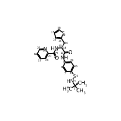 CC(C)(C)NSc1ccc(NC(=O)[C@H](Cc2cccs2)NC(=O)c2ccccn2)cc1